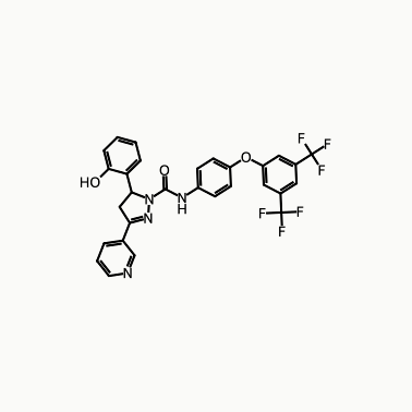 O=C(Nc1ccc(Oc2cc(C(F)(F)F)cc(C(F)(F)F)c2)cc1)N1N=C(c2cccnc2)CC1c1ccccc1O